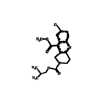 COC(=O)c1c2c(nc3ccc(Cl)cc13)CCN(C(=O)OCC(C)C)C2